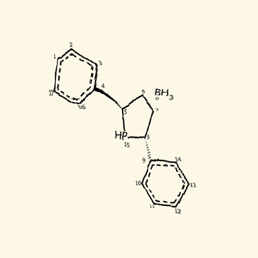 B.c1ccc([C@H]2CC[C@H](c3ccccc3)P2)cc1